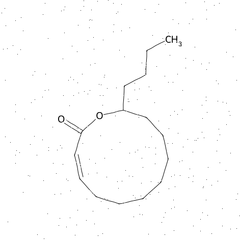 CCCCC1CCCCCCC/C=C\C(=O)O1